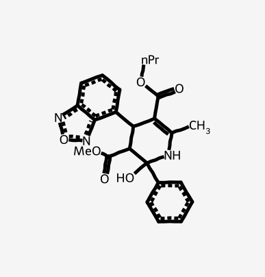 CCCOC(=O)C1=C(C)NC(O)(c2ccccc2)C(C(=O)OC)C1c1cccc2nonc12